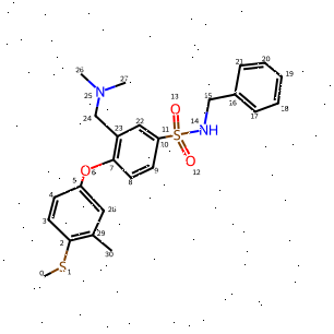 CSc1ccc(Oc2ccc(S(=O)(=O)NCc3ccccc3)cc2CN(C)C)cc1C